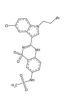 CC(C)CCn1cc(C2=NS(=O)(=O)c3cc(NS(C)(=O)=O)ccc3N2)c2cc(Cl)ccc21